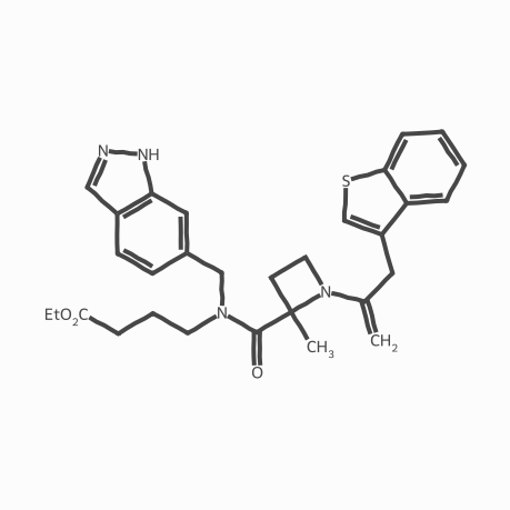 C=C(Cc1csc2ccccc12)N1CCC1(C)C(=O)N(CCCC(=O)OCC)Cc1ccc2cn[nH]c2c1